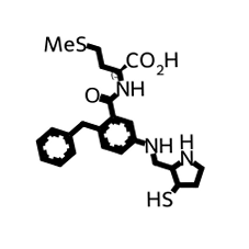 CSCC[C@H](NC(=O)c1cc(NCC2NCCC2S)ccc1Cc1ccccc1)C(=O)O